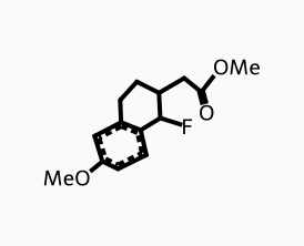 COC(=O)CC1CCc2cc(OC)ccc2C1F